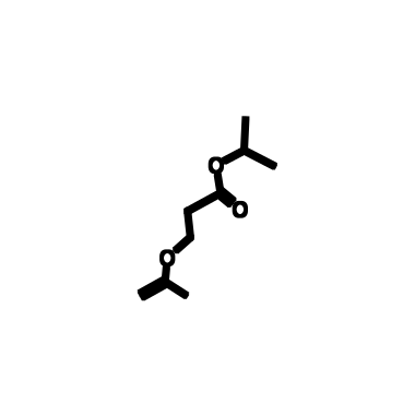 C=C(C)OCCC(=O)OC(C)C